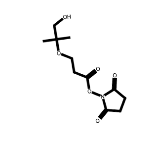 CC(C)(CO)OCCC(=O)ON1C(=O)CCC1=O